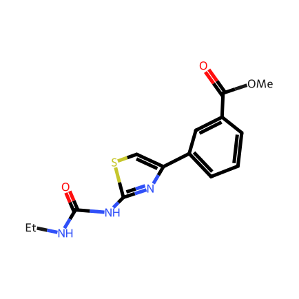 CCNC(=O)Nc1nc(-c2cccc(C(=O)OC)c2)cs1